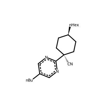 CCCCCC[C@H]1CC[C@@](C#N)(c2ncc(CCCC)cn2)CC1